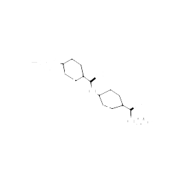 COC(=O)C1CCC(OC(=O)C2CCC(C(=O)O)CC2)CC1